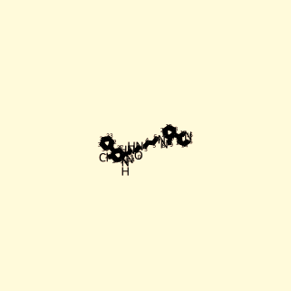 O=C(NCCCCn1ncc2c(-c3cccnc3)cccc21)Nc1n[nH]c2cc(Cl)c(-c3ccccc3)cc12